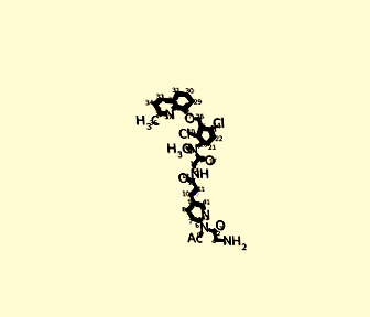 CC(=O)N(C(=O)CN)c1ccc(/C=C/C(=O)NCC(=O)N(C)c2ccc(Cl)c(COc3cccc4ccc(C)nc34)c2Cl)cn1